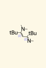 C/N=C(/C=C(\N(C)C)C(C)(C)C)C(C)(C)C